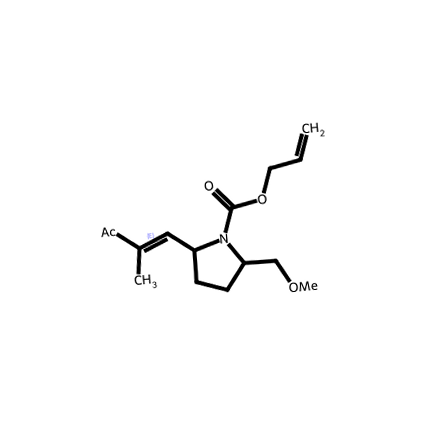 C=CCOC(=O)N1C(/C=C(\C)C(C)=O)CCC1COC